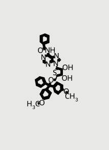 COc1ccc(C(OC[C@H]2S[C@@H](n3cnc4c(NC(=O)c5ccccc5)ncnc43)[C@H](O)[C@@H]2O)(c2ccccc2)c2ccc(OC)cc2)cc1